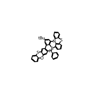 CC(C)(C)c1cc2c3c(c1)N1c4ccccc4Sc4cccc(c41)B3N(c1ccccc1)c1cc3c(cc1-2)Sc1ccccc1O3